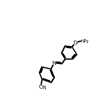 CCCOc1ccc(C=Nc2ccc(C#N)cc2)cc1